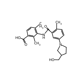 Cc1ccc(N2CCC(CO)C2)cc1C(=O)Nc1c(C)ccc(C(=O)O)c1C